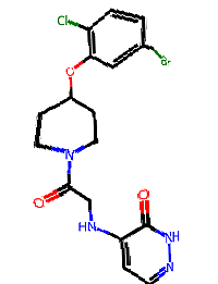 O=C(CNc1ccn[nH]c1=O)N1CCC(Oc2cc(Br)ccc2Cl)CC1